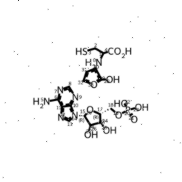 NC(CS)C(=O)O.Nc1ncnc2c1ncn2[C@@H]1O[C@H](COP(=O)(O)O)[C@@H](O)[C@H]1O.Oc1ccco1